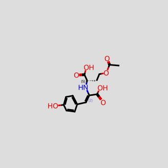 CC(=O)OCC[C@H](N/C(=C\c1ccc(O)cc1)C(=O)O)C(=O)O